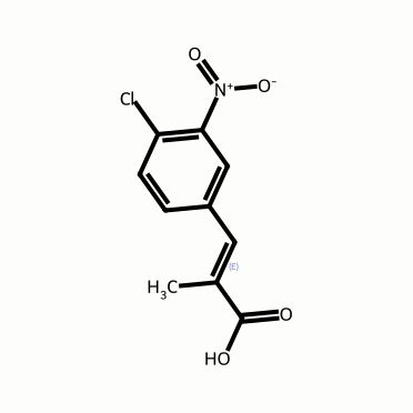 C/C(=C\c1ccc(Cl)c([N+](=O)[O-])c1)C(=O)O